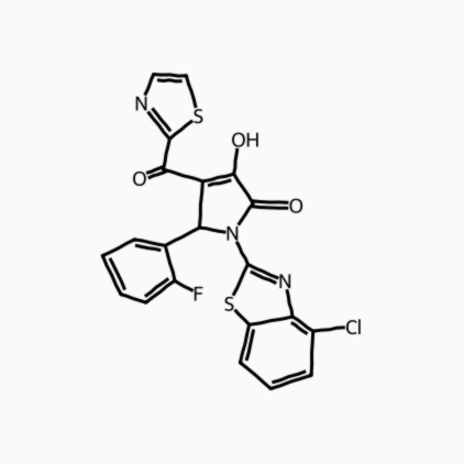 O=C(C1=C(O)C(=O)N(c2nc3c(Cl)cccc3s2)C1c1ccccc1F)c1nccs1